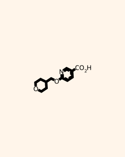 O=C(O)c1ccc(OCC2CCOCC2)nc1